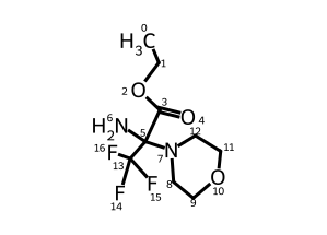 CCOC(=O)C(N)(N1CCOCC1)C(F)(F)F